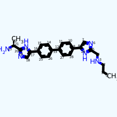 CCCNCc1ncc(-c2ccc(-c3ccc(-c4cnc([C@H](C)N)[nH]4)cc3)cc2)[nH]1